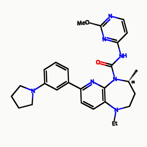 CCN1CC[C@@H](C)N(C(=O)Nc2ccnc(OC)n2)c2nc(-c3cccc(N4CCCC4)c3)ccc21